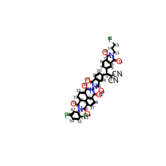 N#CC(C#N)=C(c1ccc2c(c1)C(=O)N(CCCF)C2=O)c1ccc2c(c1)C(=O)N(N1C(=O)c3ccc4c5c(ccc(c35)C1=O)C(=O)N(c1cc(F)ccc1F)C4=O)C2=O